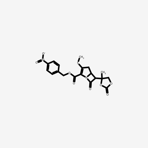 CSC1=C(C(=O)OCc2ccc([N+](=O)[O-])cc2)N2C(=O)C(C3(C)COC(=O)O3)C2C1